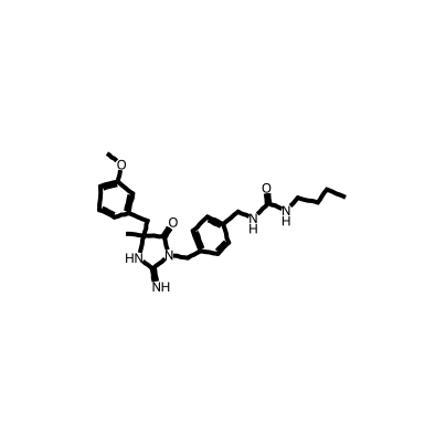 CCCCNC(=O)NCc1ccc(CN2C(=N)NC(C)(Cc3cccc(OC)c3)C2=O)cc1